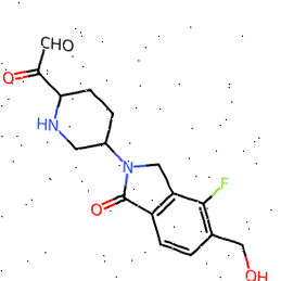 O=CC(=O)C1CCC(N2Cc3c(ccc(CO)c3F)C2=O)CN1